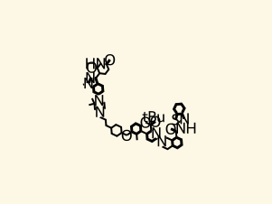 Cc1c(OC2CCC(CCCN3CCN(c4ccc5c(C6CCC(=O)NC6=O)nn(C)c5c4)C(C)(C)C3)CC2)cccc1-c1ccc(N2CCc3cccc(C(=O)Nc4nc5ccccc5s4)c3C2)nc1C(=O)OC(C)(C)C